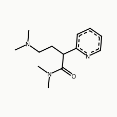 CN(C)CCC(C(=O)N(C)C)c1ccccn1